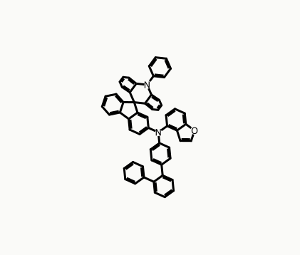 c1ccc(-c2ccccc2-c2ccc(N(c3ccc4c(c3)C3(c5ccccc5-4)c4ccccc4N(c4ccccc4)c4ccccc43)c3cccc4occc34)cc2)cc1